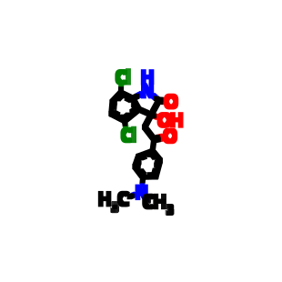 CN(C)c1ccc(C(=O)CC2(O)C(=O)Nc3c(Cl)ccc(Cl)c32)cc1